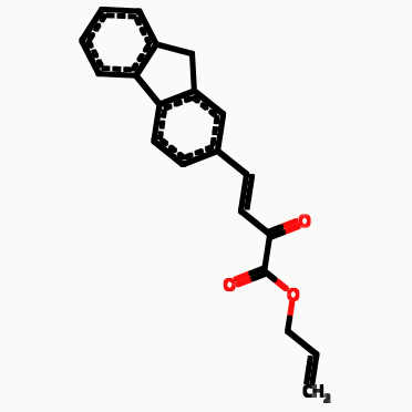 C=CCOC(=O)C(=O)C=Cc1ccc2c(c1)Cc1ccccc1-2